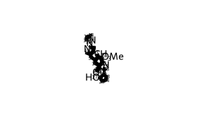 COc1c(C)c(Cc2ccc(-n3cccn3)nc2)cc2c(=O)n([C@H]3CCC[C@@H]3O)cnc12